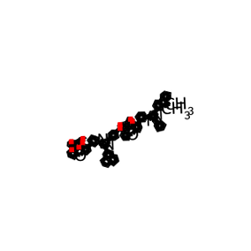 CC1(C)c2ccccc2-c2ccc(-c3cc(-c4cccc(-c5ccc6c(c5)C5(c7ccccc7O6)c6ccccc6-c6ccc(-c7ccc(-c8nc(-c9cccc(-c%10ccc%11c(c%10)C%10(c%12ccccc%12O%11)c%11ccccc%11-c%11ccccc%11%10)c9)cc(-c9cc%10c%11c(cccc%11c9)C=CC%10)n8)cc7)cc65)c4)nc(-c4ccccc4)n3)cc21